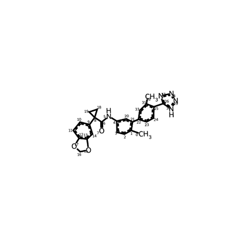 Cc1ccc(NC(=O)C2(c3ccc4c(c3)OCO4)CC2)cc1-c1ccc(-c2nnn[nH]2)c(C)c1